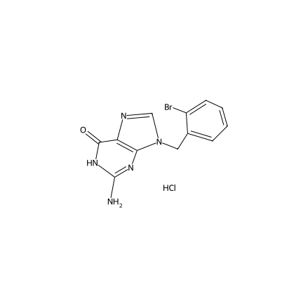 Cl.Nc1nc2c(ncn2Cc2ccccc2Br)c(=O)[nH]1